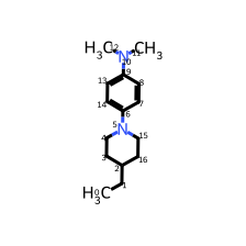 CCC1CCN(c2ccc(N(C)C)cc2)CC1